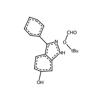 CC(C)(C)OC=O.Oc1ccc2c(-c3ccccc3)n[nH]c2c1